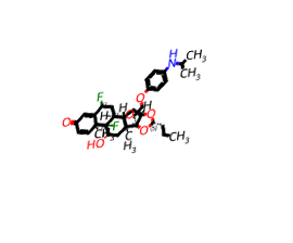 CCC[C@H]1O[C@@H]2C[C@H]3[C@@H]4C[C@H](F)C5=CC(=O)C=C[C@]5(C)[C@@]4(F)[C@@H](O)C[C@]3(C)[C@]2(C(=O)COc2ccc(NC(C)C)cc2)O1